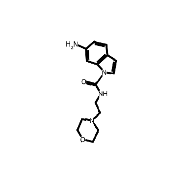 Nc1ccc2ccn(C(=O)NCCN3CCOCC3)c2c1